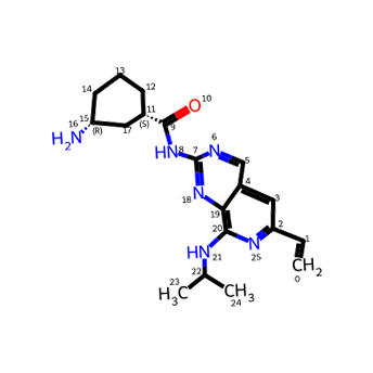 C=Cc1cc2cnc(NC(=O)[C@H]3CCC[C@@H](N)C3)nc2c(NC(C)C)n1